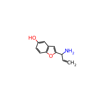 C=CC(N)c1cc2cc(O)ccc2o1